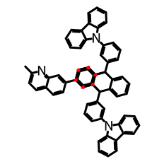 Cc1ccc2ccc(-c3ccc4c(c3)C3(c5cccc(-n6c7ccccc7c7ccccc76)c5)c5ccccc5C4(c4cccc(-n5c6ccccc6c6ccccc65)c4)c4ccccc43)cc2n1